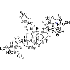 C=C(C)/C(=N\C(=O)OC)C(=O)N1CCC[C@H]1c1nc2cc([C@H]3CC[C@H](c4cc5[nH]c([C@@H]6CCCN6C(=O)[C@@H](NC(=O)OC)[C@@H](C)OC)nc5cc4F)N3c3cc(F)c(N4CCC(c5ccc(F)cc5)CC4)c(F)c3)c(F)cc2n1COP(=O)(O)O